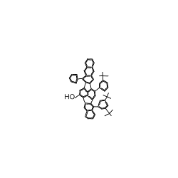 CC(C)(C)c1cccc(-c2cc3c4c(c(CO)cc5c4c2-c2cc4cc6ccccc6cc4c(-c4ccccc4)c2-5)-c2cc4ccccc4c(-c4cc(C(C)(C)C)cc(C(C)(C)C)c4)c2-3)c1